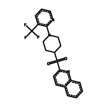 O=S(=O)(c1ccc2ccccc2n1)C1CCN(c2ncccc2C(F)(F)F)CC1